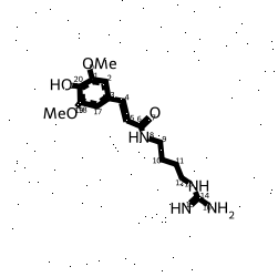 COc1cc(/C=C/C(=O)NCCCCNC(=N)N)cc(OC)c1O